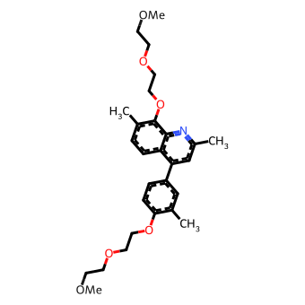 COCCOCCOc1ccc(-c2cc(C)nc3c(OCCOCCOC)c(C)ccc23)cc1C